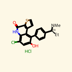 CC[C@H](NC)c1ccc(-c2c(O)cc(Cl)c3[nH]c(=O)c4sccc4c23)cc1.Cl